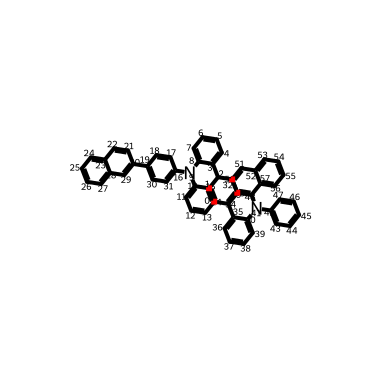 C1=CC(c2ccccc2N(c2ccccc2)c2ccc(-c3ccc4ccccc4c3)cc2)CC=C1c1ccccc1N(c1ccccc1)c1cccc2ccccc12